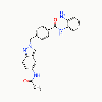 CC(=O)Nc1ccc2nn(Cc3ccc(C(=O)Nc4ccccc4N)cc3)cc2c1